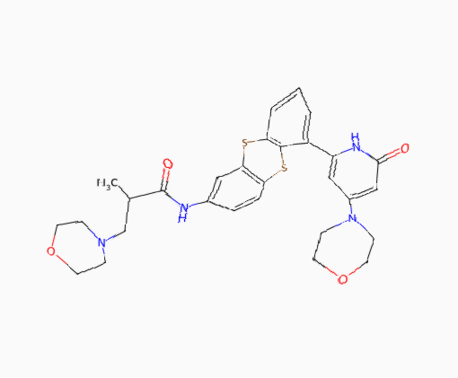 CC(CN1CCOCC1)C(=O)Nc1ccc2c(c1)Sc1cccc(-c3cc(N4CCOCC4)cc(=O)[nH]3)c1S2